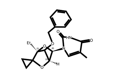 CC[C@@]12O[C@@H](n3cc(C)c(=O)[nH]c3=O)[C@@H](OC13CC3)C2OCc1ccccc1